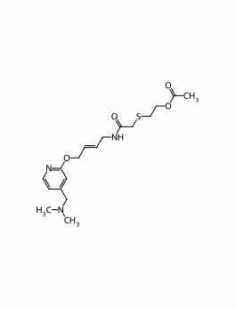 CC(=O)OCCSCC(=O)NCC=CCOc1cc(CN(C)C)ccn1